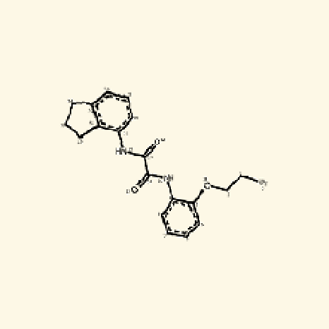 CC(C)CCOc1ccccc1NC(=O)C(=O)Nc1cccc2c1CCC2